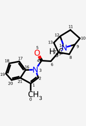 Cc1cn(C(=O)CC2CC3CCC(C2)N3C)c2ccccc12